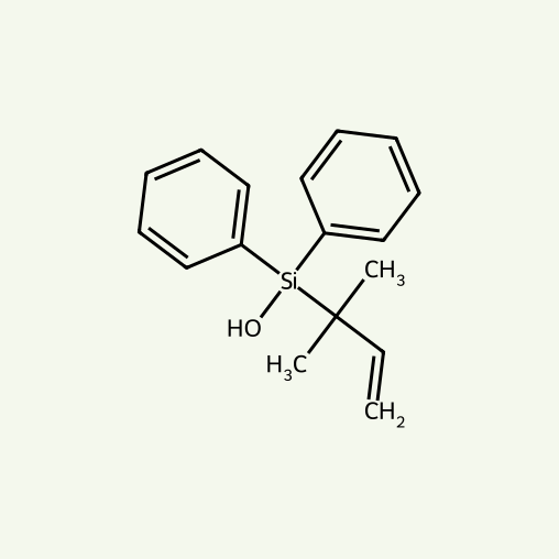 C=CC(C)(C)[Si](O)(c1ccccc1)c1ccccc1